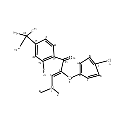 CN(C)/C=C(\Oc1ccc(Cl)cc1)C(=O)c1ccc(C(F)(F)F)cc1F